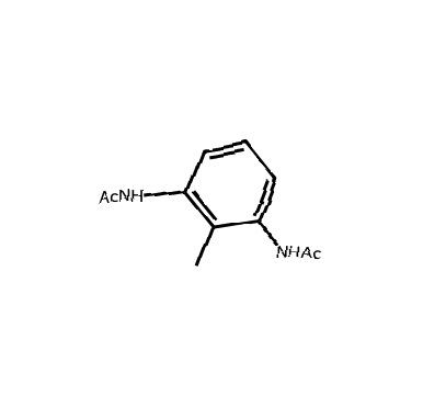 CC(=O)Nc1cccc(NC(C)=O)c1C